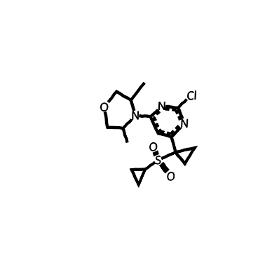 CC1COCC(C)N1c1cc(C2(S(=O)(=O)C3CC3)CC2)nc(Cl)n1